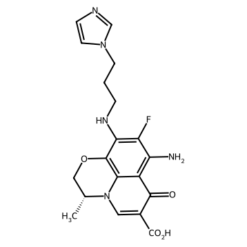 C[C@@H]1COc2c(NCCCn3ccnc3)c(F)c(N)c3c(=O)c(C(=O)O)cn1c23